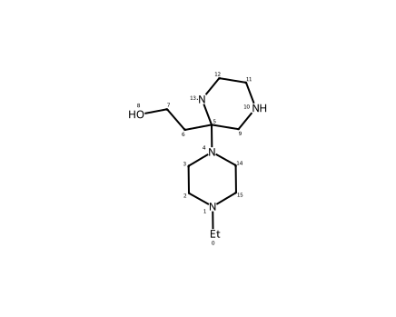 CCN1CCN(C2(CCO)CNCC[N]2)CC1